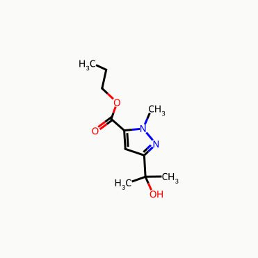 CCCOC(=O)c1cc(C(C)(C)O)nn1C